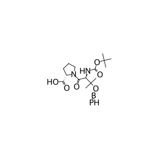 CC(C)(C)OC(=O)N[C@H](C(=O)N1CCC[C@H]1C(=O)O)C(C)(C)OB=P